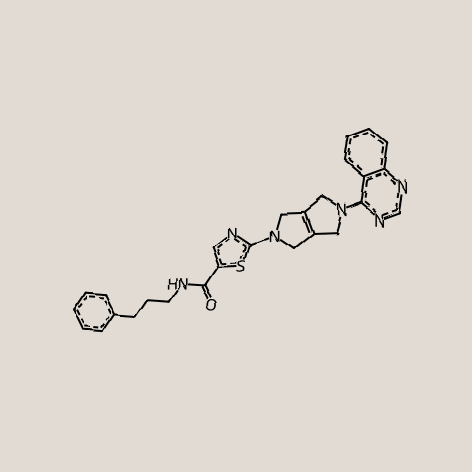 O=C(NCCCc1ccccc1)c1cnc(N2CC3=C(C2)CN(c2ncnc4ccccc24)C3)s1